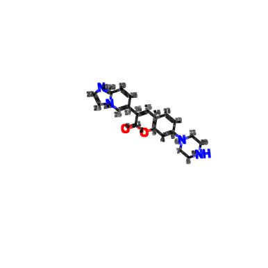 O=c1oc2cc(N3CCNCC3)ccc2cc1-c1ccc2nccn2c1